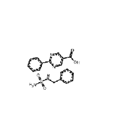 NS(=O)(=O)NCc1ccccc1.O=C(O)c1cnc(-c2ccccc2)nc1